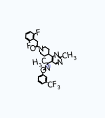 C/C(=N\Oc1cccc(C(F)(F)F)c1)c1cnc(C)nc1C1CCN(C(=O)Cc2c(F)cccc2F)CC1